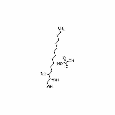 CCCCCCCCCCCC[CH]([Na])C(O)CO.O=S(=O)(O)O